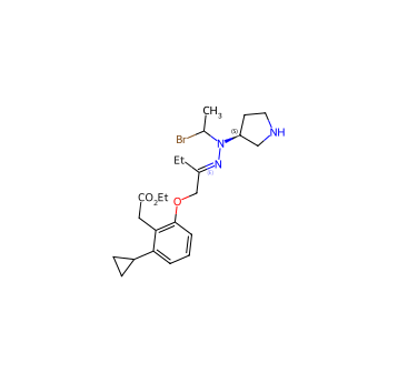 CCOC(=O)Cc1c(OC/C(CC)=N/N(C(C)Br)[C@H]2CCNC2)cccc1C1CC1